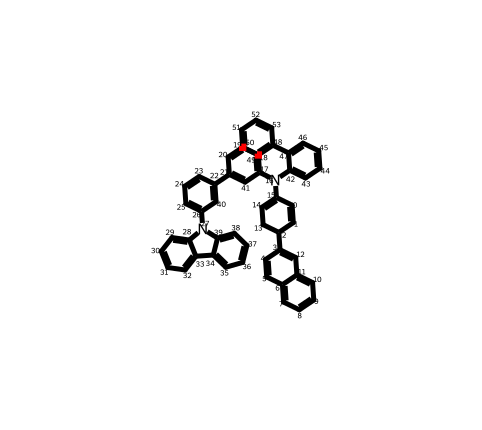 C1=CC(c2ccc3ccccc3c2)CC=C1N(c1cccc(-c2cccc(-n3c4ccccc4c4ccccc43)c2)c1)c1ccccc1-c1ccccc1